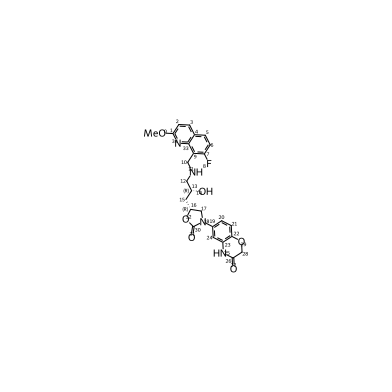 COc1ccc2ccc(F)c(CNC[C@H](O)C[C@@H]3CN(c4ccc5c(c4)NC(=O)CO5)C(=O)O3)c2n1